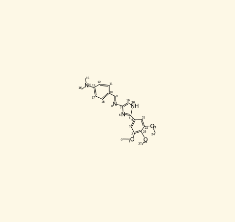 COc1cc(-c2nc(N=Cc3ccc(N(C)C)cc3)c[nH]2)cc(OC)c1OC